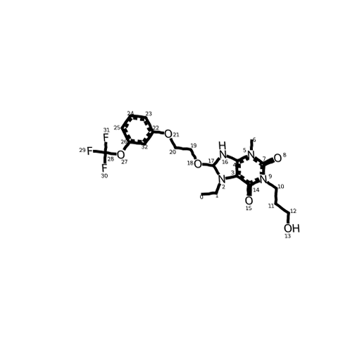 CCN1c2c(n(C)c(=O)n(CCCO)c2=O)NC1OCCOc1cccc(OC(F)(F)F)c1